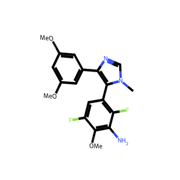 COc1cc(OC)cc(-c2ncn(C)c2-c2cc(F)c(OC)c(N)c2F)c1